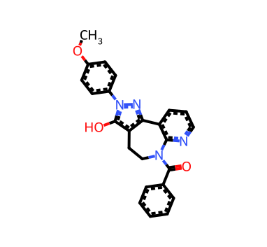 COc1ccc(-n2nc3c(c2O)CCN(C(=O)c2ccccc2)c2ncccc2-3)cc1